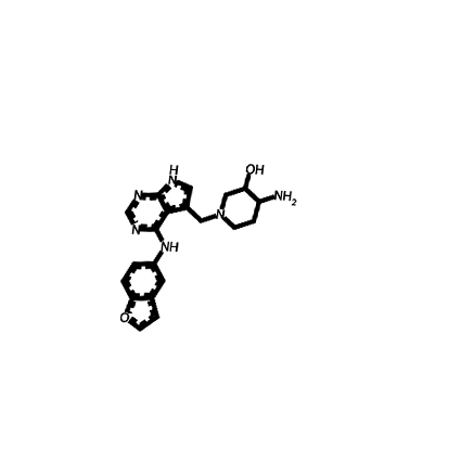 NC1CCN(Cc2c[nH]c3ncnc(Nc4ccc5occc5c4)c23)CC1O